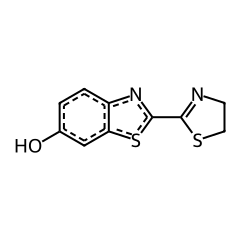 Oc1ccc2nc(C3=NCCS3)sc2c1